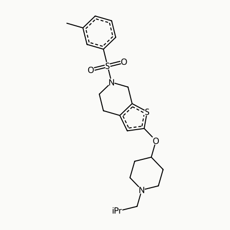 Cc1cccc(S(=O)(=O)N2CCc3cc(OC4CCN(CC(C)C)CC4)sc3C2)c1